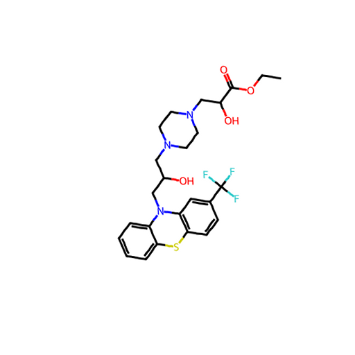 CCOC(=O)C(O)CN1CCN(CC(O)CN2c3ccccc3Sc3ccc(C(F)(F)F)cc32)CC1